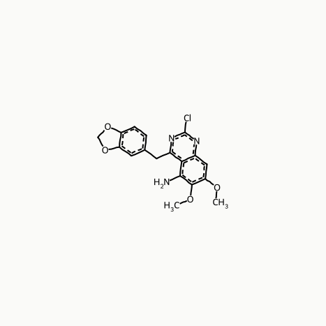 COc1cc2nc(Cl)nc(Cc3ccc4c(c3)OCO4)c2c(N)c1OC